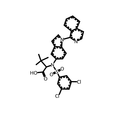 CC(C)(C)C(C(=O)O)N(c1ccc2c(ccn2-c2nccc3ccccc23)c1)S(=O)(=O)c1cc(Cl)cc(Cl)c1